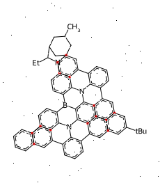 CCC1C2CC(C)CC(C2)N1c1ccc2c(c1)N(c1c(-c3ccccc3)cccc1-c1ccccc1)c1cc(-c3ccc(C(C)(C)C)cc3)cc3c1B2c1ccc(-c2ccccc2)cc1N3c1c(-c2ccccc2)cccc1-c1ccccc1